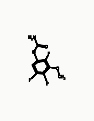 COc1c(F)c(F)cc(OC(N)=O)c1F